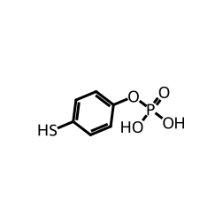 O=P(O)(O)Oc1ccc(S)cc1